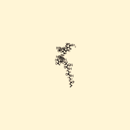 CC(=O)CC(=O)O.CCCC(=O)SCCNC(=O)CCNC(=O)C(O)C(C)(C)COP(=O)(O)OP(=O)(O)OC[C@H]1O[C@@H](n2cnc3c(N)ncnc32)[C@H](O)[C@@H]1OP(=O)(O)O